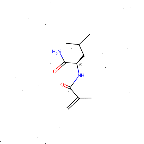 C=C(C)C(=O)N[C@H](CC(C)C)C(N)=O